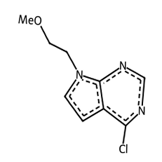 COCCn1ccc2c(Cl)ncnc21